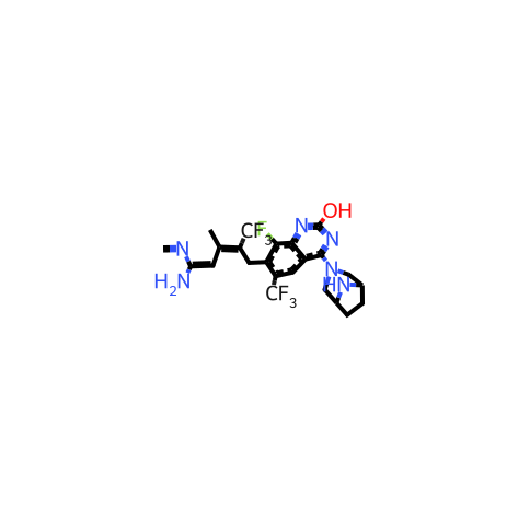 C=N/C(N)=C\C(C)=C(/Cc1c(C(F)(F)F)cc2c(N3CC4CCC(C3)N4)nc(O)nc2c1F)C(F)(F)F